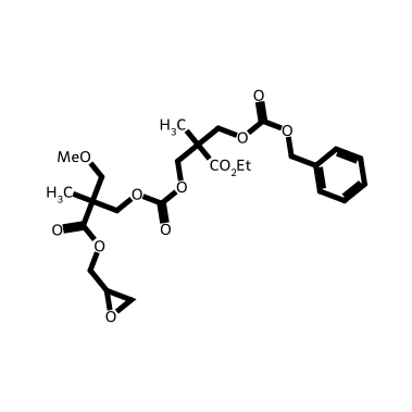 CCOC(=O)C(C)(COC(=O)OCc1ccccc1)COC(=O)OCC(C)(COC)C(=O)OCC1CO1